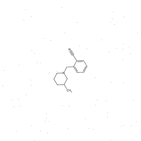 CC1CCCN(Cc2ccccc2C#N)C1